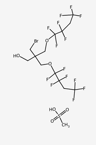 CS(=O)(=O)O.OCC(CBr)(COC(F)(F)C(F)(F)CC(F)(F)F)COC(F)(F)C(F)(F)CC(F)(F)F